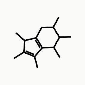 CC1=C(C)C(C)C2=C1C(C)C(C)C(C)C2